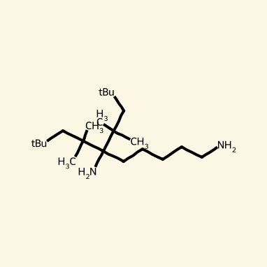 CC(C)(C)CC(C)(C)C(N)(CCCCCN)C(C)(C)CC(C)(C)C